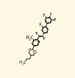 CCCC1COC(c2ccc(/C(F)=C(\F)c3ccc(-c4cc(F)c(F)c(F)c4)c(F)c3)c(C)c2)OC1